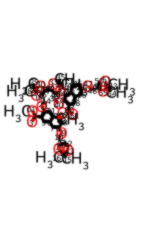 COC(=O)c1cc2cc(OC[C@H]3COC(C)(C)O3)ccc2cc1OC[C@@H]1OC(C)(C)O[C@H]1[C@H]1OC(C)(C)O[C@@H]1COc1cc2ccc(OC[C@H]3COC(C)(C)O3)cc2cc1C(=O)OC